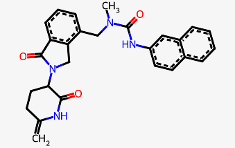 C=C1CCC(N2Cc3c(CN(C)C(=O)Nc4ccc5ccccc5c4)cccc3C2=O)C(=O)N1